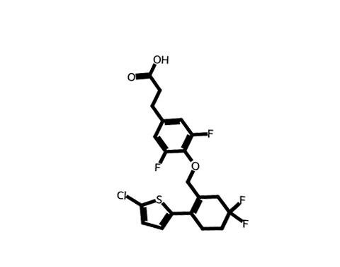 O=C(O)CCc1cc(F)c(OCC2=C(c3ccc(Cl)s3)CCC(F)(F)C2)c(F)c1